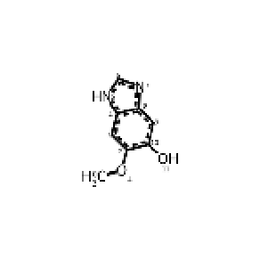 COc1cc2[nH]cnc2cc1O